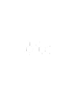 OCC1O[C@@H](O)[C@@H](O)C(O)[C@@H]1O[C@@H]1OC(CS)[C@H](O)C(O)[C@@H]1O